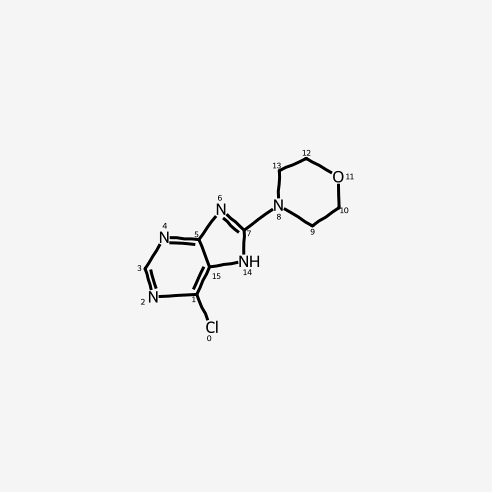 Clc1ncnc2nc(N3CCOCC3)[nH]c12